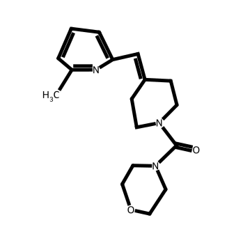 Cc1cccc(C=C2CCN(C(=O)N3CCOCC3)CC2)n1